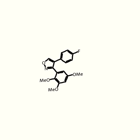 COc1cc(OC)c(OC)c(-c2nocc2-c2ccc(F)cc2)c1